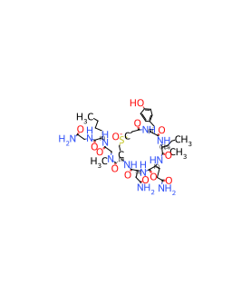 CCCC[C@H](NC(=O)CN(C)C(=O)[C@@H]1CC[S+]([O-])CCC(=O)N[C@H](Cc2ccc(O)cc2)C(=O)N[C@@H]([C@@H](C)CC)C(=O)N[C@@H](CCC(N)=O)C(=O)N[C@@H](CC(N)=O)C(=O)N1)C(=O)NCC(N)=O